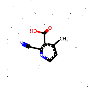 Cc1ccnc(C#N)c1C(=O)O